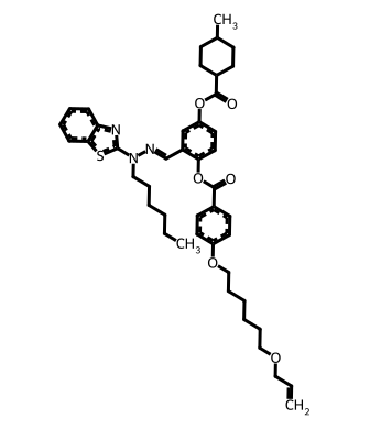 C=CCOCCCCCCOc1ccc(C(=O)Oc2ccc(OC(=O)C3CCC(C)CC3)cc2C=NN(CCCCCC)c2nc3ccccc3s2)cc1